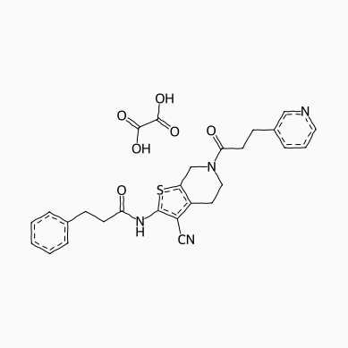 N#Cc1c(NC(=O)CCc2ccccc2)sc2c1CCN(C(=O)CCc1cccnc1)C2.O=C(O)C(=O)O